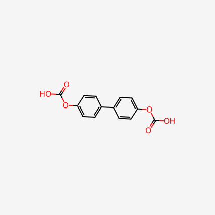 O=C(O)Oc1ccc(-c2ccc(OC(=O)O)cc2)cc1